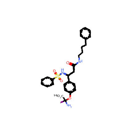 NC(I)(Oc1ccc(C(CC(=O)NCCCCc2ccccc2)NS(=O)(=O)c2ccccc2)cc1)C(=O)O